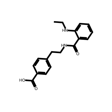 CCNc1ccccc1C(=O)NCCc1ccc(C(=O)O)cc1